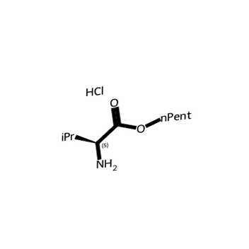 CCCCCOC(=O)[C@@H](N)C(C)C.Cl